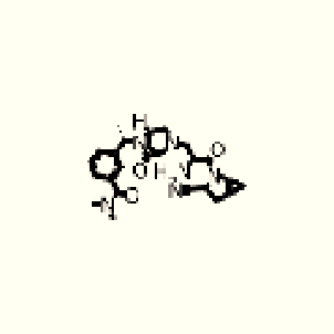 C[C@@H](c1cccc(C(=O)N(C)C)c1)N1C(=O)C2C[C@H]1CN2CC(N)C(=O)N1C(C#N)CC2CC21